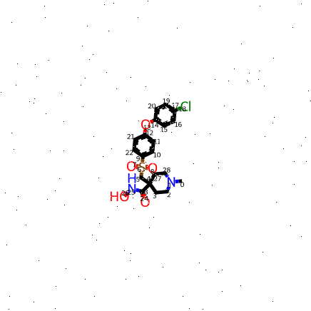 CN1CCC(CS(=O)(=O)c2ccc(Oc3ccc(Cl)cc3)cc2)(C(=O)NO)CC1